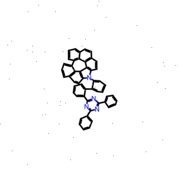 c1ccc(-c2nc(-c3ccccc3)nc(-c3ccccc3-c3ccccc3-n3c4ccc5cccc6c5c4c4c5c(ccc7cccc-6c75)ccc43)n2)cc1